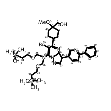 COC1(CO)CCC(C2=NC3C(c4ccc(-c5ccccc5)nc4)C=NN3C(N(COCC[Si](C)(C)C)COCC[Si](C)(C)C)=C2Br)CC1